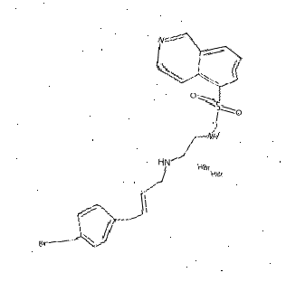 Br.Br.O=S(=O)(NCCNCC=Cc1ccc(Br)cc1)c1cccc2cnccc12